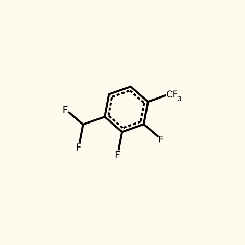 Fc1c(C(F)F)ccc(C(F)(F)F)c1F